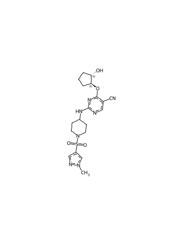 Cn1cc(S(=O)(=O)N2CCC(Nc3ncc(C#N)c(O[C@H]4CCC[C@@H]4O)n3)CC2)cn1